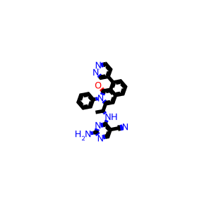 CC(Nc1nc(N)ncc1C#N)c1cc2cccc(-c3ccnnc3)c2c(=O)n1-c1ccccc1